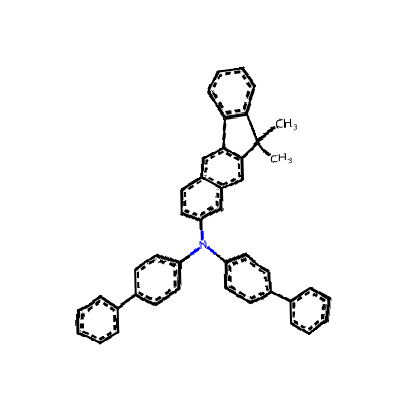 CC1(C)c2ccccc2-c2cc3ccc(N(c4ccc(-c5ccccc5)cc4)c4ccc(-c5ccccc5)cc4)cc3cc21